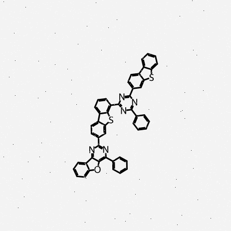 c1ccc(-c2nc(-c3ccc4c(c3)sc3ccccc34)nc(-c3cccc4c3sc3cc(-c5nc(-c6ccccc6)c6oc7ccccc7c6n5)ccc34)n2)cc1